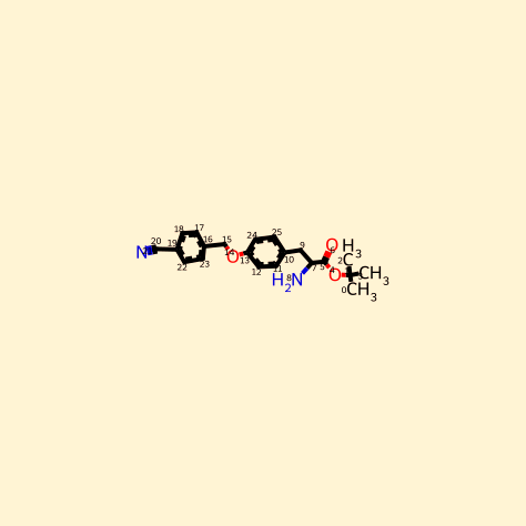 CC(C)(C)OC(=O)C(N)Cc1ccc(OCc2ccc(C#N)cc2)cc1